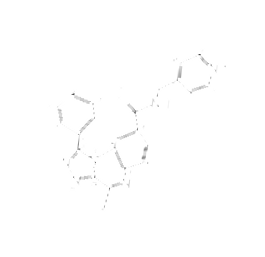 Cc1nc2ccc(C(=O)NCc3ccncc3)cc2n2c(-c3ccccc3)nnc12